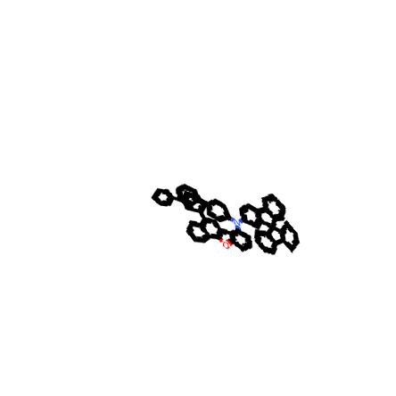 c1ccc(-c2ccc(N(c3ccc4c(c3)C3(c5ccccc5-c5ccccc53)c3ccccc3-4)c3cccc4oc5c6ccccc6c(-c6cccc(-c7ccccc7)c6)cc5c34)cc2)cc1